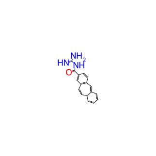 N=C(N)NC(=O)c1ccc2c(c1)C=CC1C=CC=CC1=C2